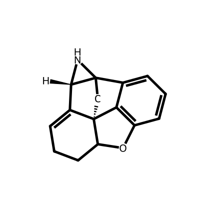 C1=C2[C@@H]3NC34C[C@@]23c2c(cccc24)OC3CC1